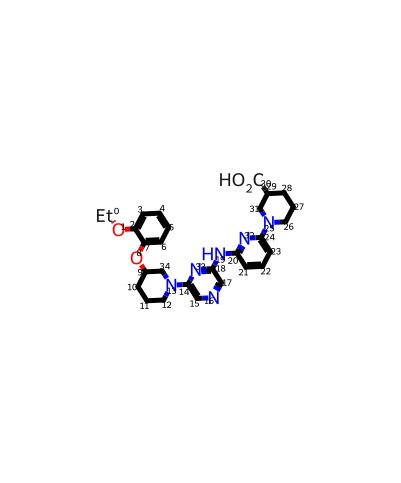 CCOc1ccccc1OC1CCCN(c2cncc(Nc3cccc(N4CCCC(C(=O)O)C4)n3)n2)C1